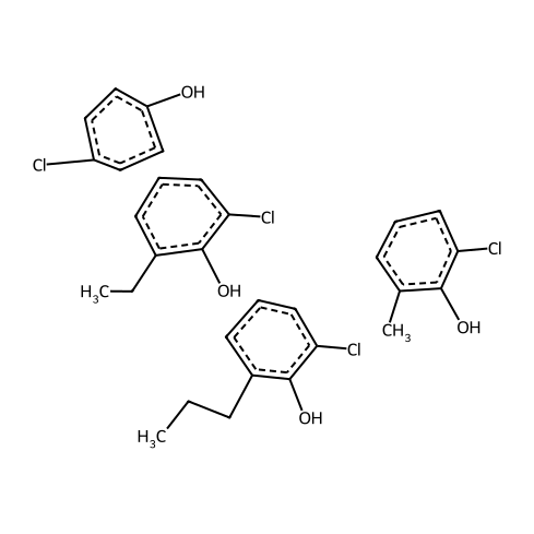 CCCc1cccc(Cl)c1O.CCc1cccc(Cl)c1O.Cc1cccc(Cl)c1O.Oc1ccc(Cl)cc1